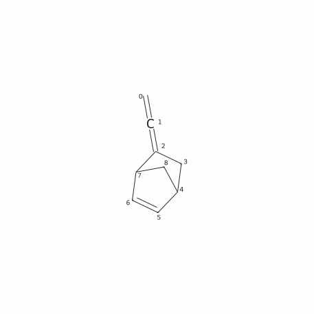 C=C=C1CC2C=CC1C2